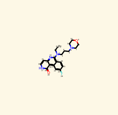 CC(C)CN(CCCN1CCOCC1)c1nc2cc[nH]c(=O)c2c2cc(F)ccc12